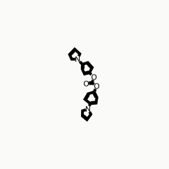 O=C(Oc1ccc(N2CC=CC2)cc1)Oc1ccc(N2CC=CC2)cc1